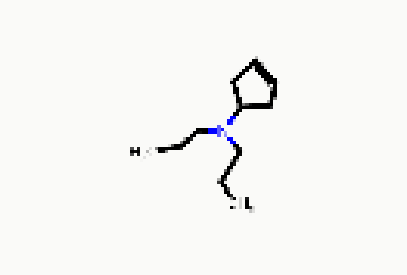 CCCN(CCC)C1CC=CC1